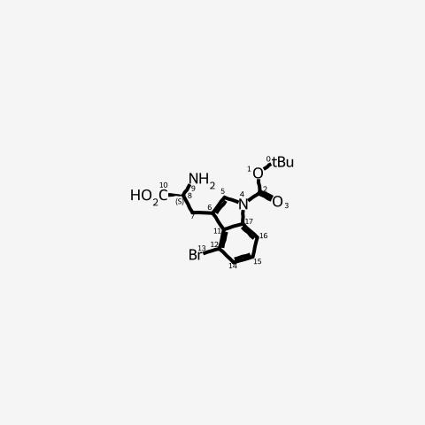 CC(C)(C)OC(=O)n1cc(C[C@H](N)C(=O)O)c2c(Br)cccc21